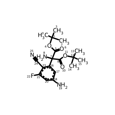 CC(C)(C)OC(=O)C(N)(C(=O)OC(C)(C)C)c1cc(N)cc(F)c1C#N